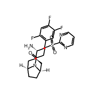 N[C@H](Cc1cc(F)c(F)cc1F)[C@H]1C[C@H]2CC[C@@H](C1)N2C(=O)CCS(=O)(=O)c1ncccn1